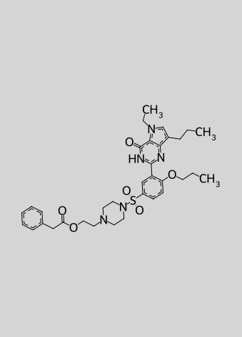 CCCOc1ccc(S(=O)(=O)N2CCN(CCOC(=O)Cc3ccccc3)CC2)cc1-c1nc2c(CCC)cn(CC)c2c(=O)[nH]1